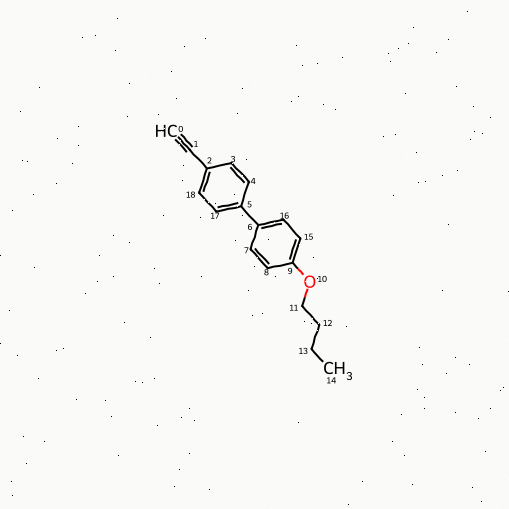 C#Cc1ccc(-c2ccc(OCCCC)cc2)cc1